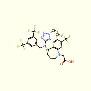 Cc1cc2c(cc1C(F)(F)F)N(CC(=O)O)CCC[C@@H]2N(Cc1cc(C(F)(F)F)cc(C(F)(F)F)c1)c1nnn(C)n1